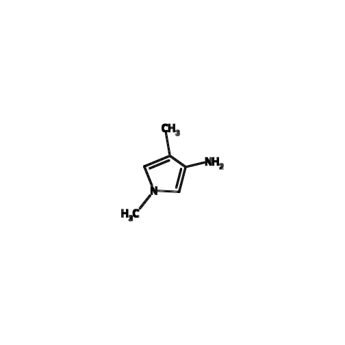 Cc1cn(C)cc1N